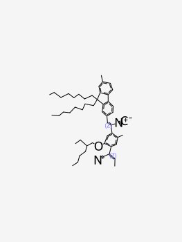 [C-]#[N+]/C(=C\c1ccc2c(c1)C(CCCCCCCC)(CCCCCCCC)c1cc(C)ccc1-2)c1cc(OCC(CC)CCCC)c(/C(C#N)=C/C)cc1C